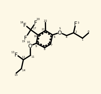 CCC(F)COc1ccc(OCC(F)CC)c(C(F)(F)F)c1C